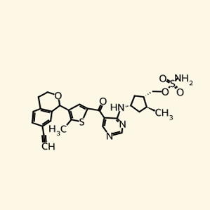 C#Cc1ccc2c(c1)C(c1cc(C(=O)c3cncnc3N[C@@H]3C[C@H](COS(N)(=O)=O)[C@@H](C)C3)sc1C)OCC2